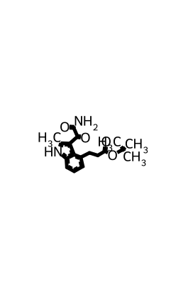 Cc1[nH]c2cccc(CCC(=O)OC(C)(C)C)c2c1C(=O)C(N)=O